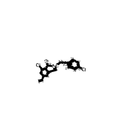 C=Cc1cc(Cl)c2c(c1)CN(Cc1ccc(Cl)cc1)C2=O